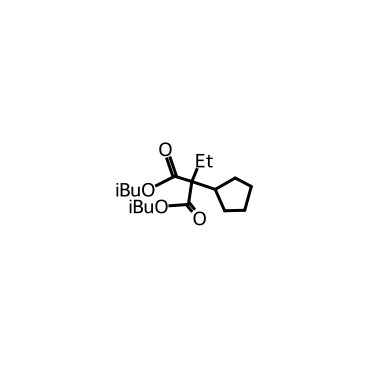 CCC(C(=O)OCC(C)C)(C(=O)OCC(C)C)C1CCCC1